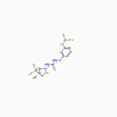 O=C(NCc1ccnc(OC(F)F)c1)N[C@@H]1CC[C@@H]2C1C2(F)F